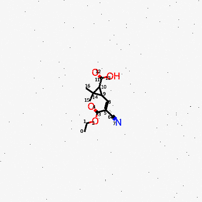 CCOC(=O)C(C#N)=CC1C(C(=O)O)C1(C)C